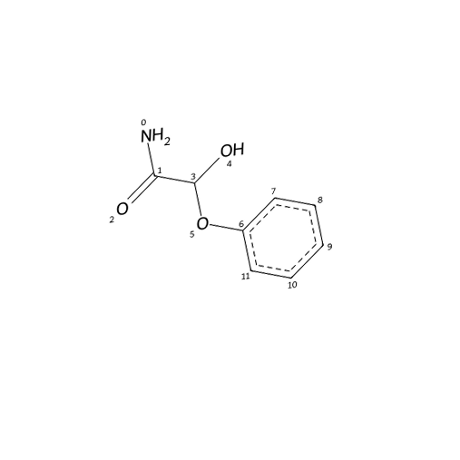 NC(=O)C(O)Oc1ccccc1